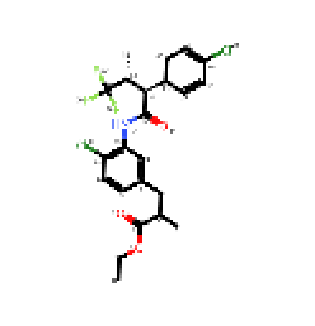 CCOC(=O)C(C)Cc1ccc(Cl)c(NC(=O)[C@H](C2C=CC(Cl)=CC2)[C@@H](C)C(F)(F)F)c1